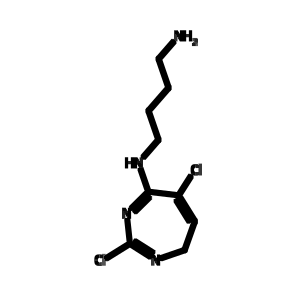 NCCCCNC1=NC(Cl)=NCC=C1Cl